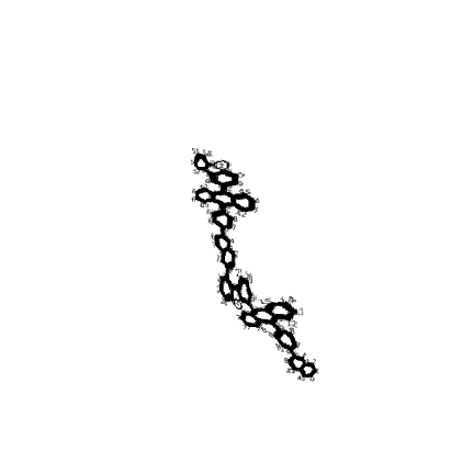 c1ccc2cc(-c3ccc(-c4c5ccccc5c(-c5cccc6c5oc5cccc(-c7ccc8cc(-c9ccc(-c%10c%11ccccc%11c(-c%11ccc%12oc%13ccccc%13c%12c%11)c%11ccccc%10%11)cc9)ccc8c7)c56)c5ccccc45)cc3)ccc2c1